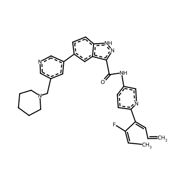 C=C/C=C(\C(F)=C/C)c1ccc(NC(=O)c2n[nH]c3ccc(-c4cncc(CN5CCCCC5)c4)cc23)cn1